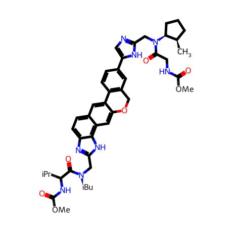 CC[C@H](C)N(Cc1nc2ccc3cc4c(cc3c2[nH]1)OCc1cc(-c2cnc(CN(C(=O)CNC(=O)OC)[C@H]3CCC[C@H]3C)[nH]2)ccc1-4)C(=O)C(NC(=O)OC)C(C)C